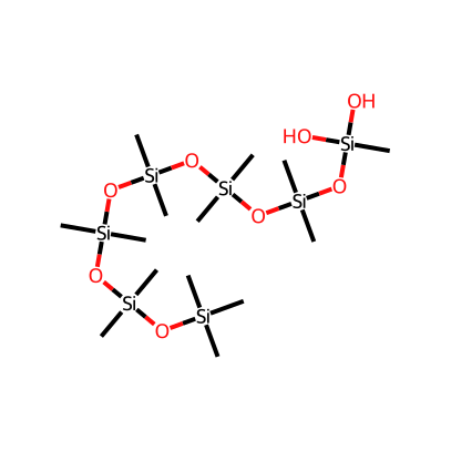 C[Si](C)(C)O[Si](C)(C)O[Si](C)(C)O[Si](C)(C)O[Si](C)(C)O[Si](C)(C)O[Si](C)(O)O